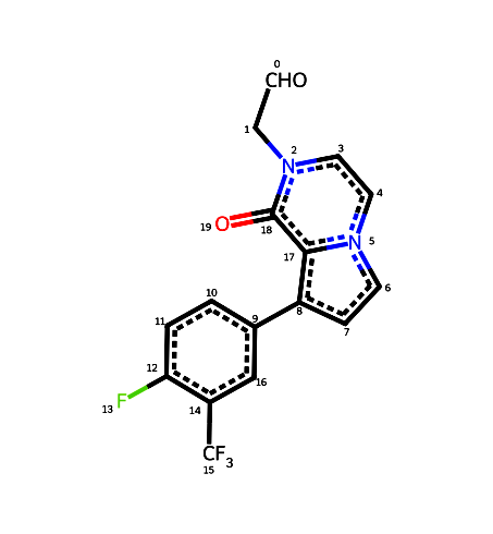 O=CCn1ccn2ccc(-c3ccc(F)c(C(F)(F)F)c3)c2c1=O